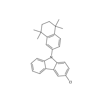 CC1(C)CCC(C)(C)c2cc(-n3c4ccccc4c4cc(Cl)ccc43)ccc21